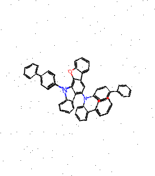 c1ccc(-c2ccc(N(c3ccccc3-c3ccccc3)c3cc4c5ccccc5oc4c4c3c3ccccc3n4-c3ccc(-c4ccccc4)cc3)cc2)cc1